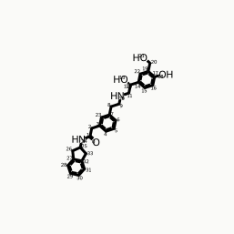 O=C(Cc1cccc(CCNC[C@@H](O)c2ccc(O)c(CO)c2)c1)NC1Cc2ccccc2C1